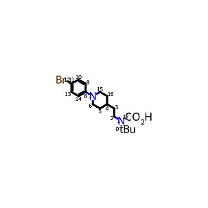 CC(C)(C)N(CCC1CCN(c2ccc(Br)cc2)CC1)C(=O)O